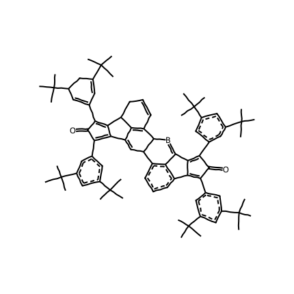 CC(C)(C)C1=CC(C2=C3C(=C(c4cc(C(C)(C)C)cc(C(C)(C)C)c4)C2=O)C2=CC4c5cccc6c5C(=BC4C4=C2C3CC=C4)C2=C(c3cc(C(C)(C)C)cc(C(C)(C)C)c3)C(=O)C(c3cc(C(C)(C)C)cc(C(C)(C)C)c3)=C26)=CC(C(C)(C)C)C1